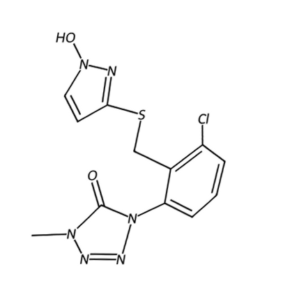 Cn1nnn(-c2cccc(Cl)c2CSc2ccn(O)n2)c1=O